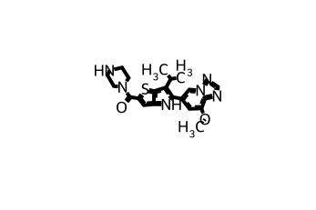 COc1cc(-c2[nH]c3cc(C(=O)N4CCNCC4)sc3c2C(C)C)cn2ncnc12